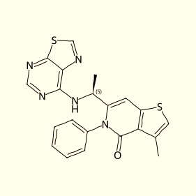 Cc1csc2cc([C@H](C)Nc3ncnc4scnc34)n(-c3ccccc3)c(=O)c12